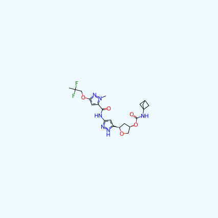 Cn1nc(OCC(C)(F)F)cc1C(=O)Nc1cc([C@H]2C[C@@H](OC(=O)NC34CC(C3)C4)CO2)[nH]n1